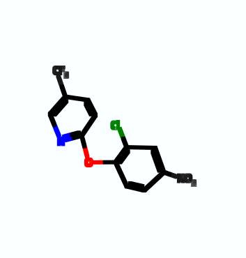 O=[N+]([O-])c1ccc(Oc2ccc(C(F)(F)F)cn2)c(Cl)c1